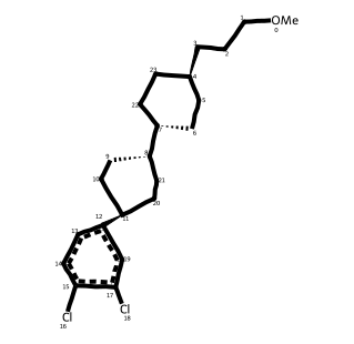 COCCC[C@H]1CC[C@H]([C@H]2CC[C@H](c3ccc(Cl)c(Cl)c3)CC2)CC1